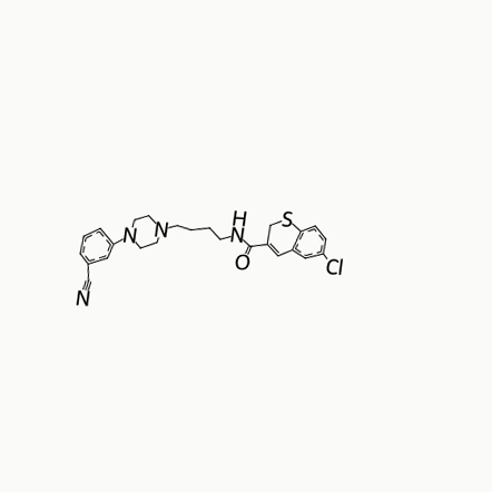 N#Cc1cccc(N2CCN(CCCCNC(=O)C3=Cc4cc(Cl)ccc4SC3)CC2)c1